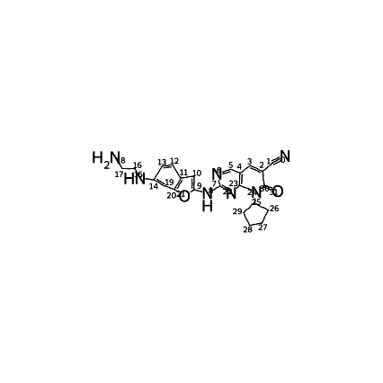 N#Cc1cc2cnc(Nc3cc4ccc(NCCN)cc4o3)nc2n(C2CCCC2)c1=O